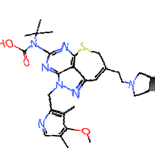 COc1c(C)cnc(Cn2nc3c4c(nc(N(C(=O)O)C(C)(C)C)nc42)SCC(CCN2CCCC2)=C3)c1C